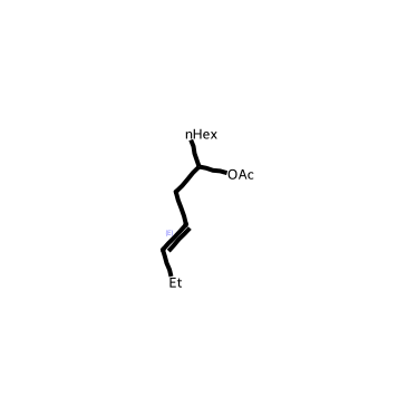 CC/C=C/CC(CCCCCC)OC(C)=O